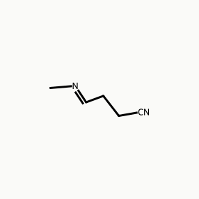 CN=CCCC#N